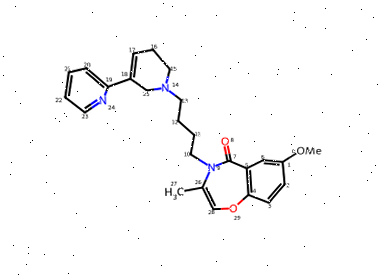 COc1ccc2c(c1)C(=O)N(CCCCN1CCC=C(c3ccccn3)C1)C(C)=CO2